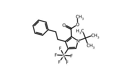 COC(=O)c1c(CCc2ccccc2)c(S(F)(F)(F)(F)F)cn1C(C)(C)C